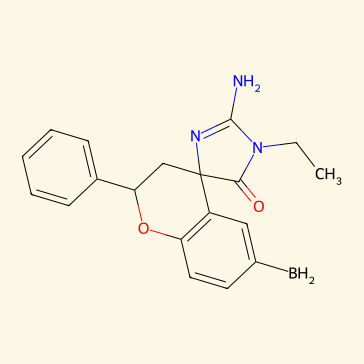 Bc1ccc2c(c1)C1(CC(c3ccccc3)O2)N=C(N)N(CC)C1=O